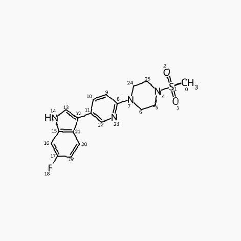 CS(=O)(=O)N1CCN(c2ccc(-c3c[nH]c4cc(F)ccc34)cn2)CC1